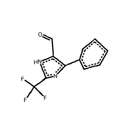 O=Cc1[nH]c(C(F)(F)F)nc1-c1ccccc1